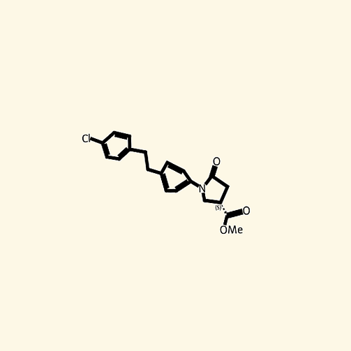 COC(=O)[C@H]1CC(=O)N(c2ccc(CCc3ccc(Cl)cc3)cc2)C1